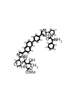 COC(=O)N[C@H](C(=O)N1CCOC[C@H]1c1ncc(-c2ccc3cc(-c4ccc(-c5cnc([C@@H]6CCCN6C(=O)[C@H](N)c6ccccc6)[nH]5)cc4)ccc3c2)[nH]1)[C@@H](C)O